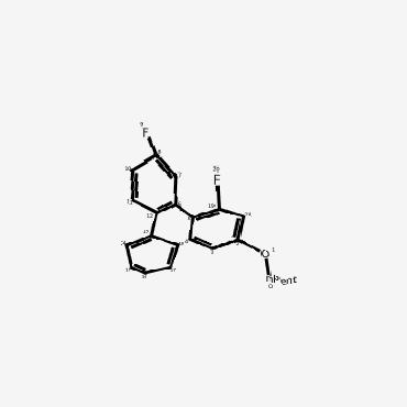 CCCCCOc1ccc(-c2cc(F)ccc2-c2ccccc2)c(F)c1